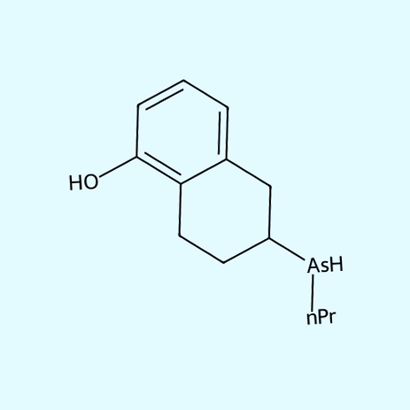 CCC[AsH]C1CCc2c(O)cccc2C1